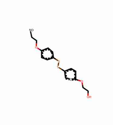 O=NCCOc1ccc(SSc2ccc(OCCO)cc2)cc1